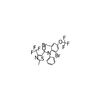 Cc1nc(C(F)(F)F)c(C(=O)N(c2ccccc2)c2c(Br)cc(OC(F)(F)F)cc2Br)s1